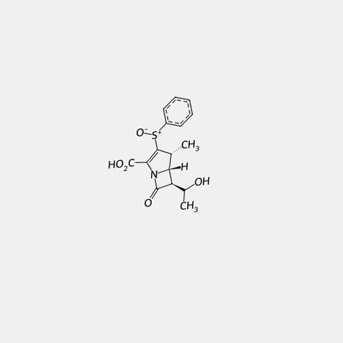 CC(O)[C@H]1C(=O)N2C(C(=O)O)=C([S+]([O-])c3ccccc3)[C@H](C)[C@H]12